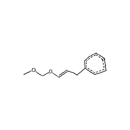 COCOC=CCc1ccccc1